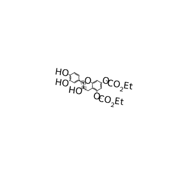 CCOC(=O)Oc1cc(OC(=O)OCC)c2c(c1)O[C@H](c1ccc(O)c(O)c1)[C@H](O)C2